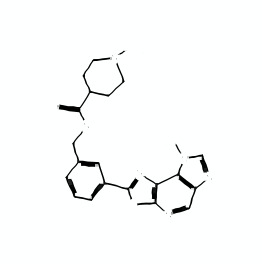 CN1CCC(C(=O)NCc2cccc(-c3nc4c(ncc5ncn(C)c54)s3)c2)CC1